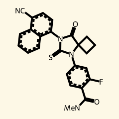 CNC(=O)c1ccc(N2C(=S)N(c3ccc(C#N)c4ccccc34)C(=O)C23CCC3)cc1F